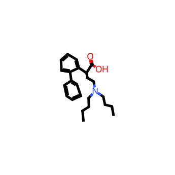 CCCCN(CCCC)CCC(C(=O)O)c1ccccc1-c1ccccc1